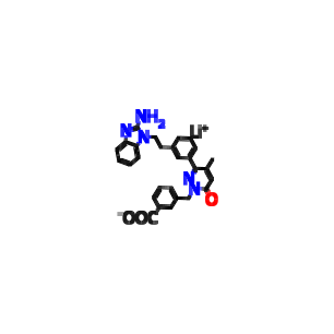 Cc1cc(=O)n(Cc2cccc(C(=O)[O-])c2)nc1-c1cccc(CCn2c(N)nc3ccccc32)c1.[Li+]